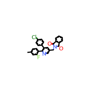 Cc1ccc(-c2ncc(CN3C(=O)c4ccccc4C3=O)cc2-c2ccc(Cl)cc2)c(F)c1